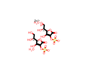 O.O.O=C1O[C@H]([C@@H](O)CO)C(O)=C1OS(=O)(=O)[O-].O=C1O[C@H]([C@@H](O)CO)C(O)=C1OS(=O)(=O)[O-].[Zn+2]